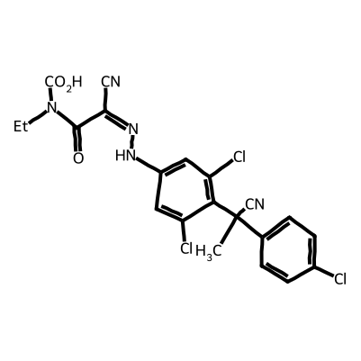 CCN(C(=O)O)C(=O)C(C#N)=NNc1cc(Cl)c(C(C)(C#N)c2ccc(Cl)cc2)c(Cl)c1